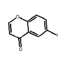 O=c1ccoc2ccc(I)cc12